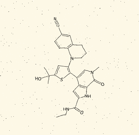 CCNC(=O)c1cc2c(-c3sc(C(C)(C)O)cc3N3CCCc4cc(C#N)ccc43)cn(C)c(=O)c2[nH]1